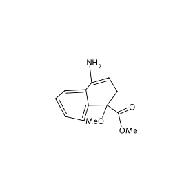 COC(=O)C1(OC)CC=C(N)c2ccccc21